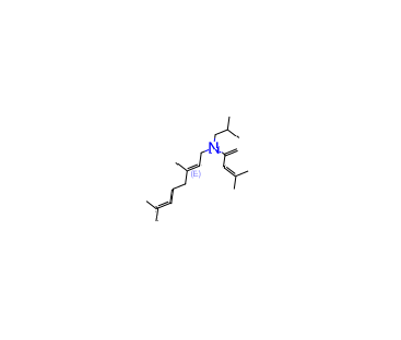 C=C(C=C(C)C)N(C/C=C(\C)CCC=C(C)C)CC(C)C